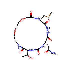 CSC[C@@H]1NC(=O)COCCOCCNC(=O)[C@H](C(C)O)NC(=O)N[C@@H](CC(N)=O)C(=O)NNC1=O